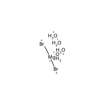 O.O.O.O.[Br][Mg][Br]